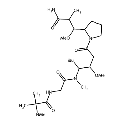 CCC(C)C(C(CC(=O)N1CCCC1C(OC)C(C)C(N)=O)OC)N(C)C(=O)CNC(=O)C(C)(C)NC